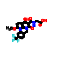 COc1ccc2c(O)c(C(=O)NCC(=O)O)c(=O)n(Cc3ccc(C(F)(F)F)cc3)c2n1